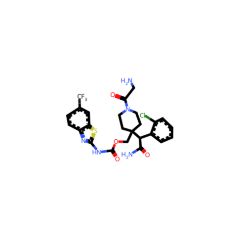 NCC(=O)N1CCC(COC(=O)Nc2nc3ccc(C(F)(F)F)cc3s2)(C(C(N)=O)c2ccccc2Cl)CC1